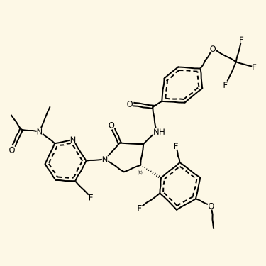 COc1cc(F)c([C@@H]2CN(c3nc(N(C)C(C)=O)ccc3F)C(=O)C2NC(=O)c2ccc(OC(F)(F)F)cc2)c(F)c1